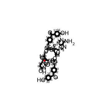 Nc1ncnc2c1ncn2[C@@H]1O[C@@H]2COP(=O)(SCc3ccc(C(=O)c4ccc(O)cc4)cc3)O[C@@H]3[C@H](F)[C@@H](COP(=O)(SCc4ccc(C(=O)c5ccc(O)cc5)cc4)O[C@H]2[C@H]1F)O[C@H]3n1ccc(=O)[nH]c1=O